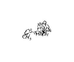 COc1ccc2ncc(Cl)c([C@H](O)CCC3(C(=O)NO)CCN(CCCSc4cccc(C)c4)CC3)c2c1